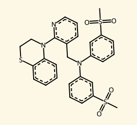 CS(=O)(=O)c1cccc(N(Cc2cccnc2N2CCSc3ccccc32)c2cccc(S(C)(=O)=O)c2)c1